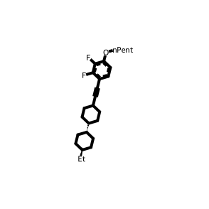 CCCCCOc1ccc(C#CC2CCC([C@H]3CC[C@H](CC)CC3)CC2)c(F)c1F